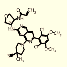 C=CC(=O)NC1COC[C@H]1Nc1cc2c(N3CCC(C)(C#N)CC3)nc(-c3c(Cl)c(OC)cc(OC)c3Cl)cc2cn1